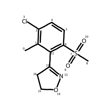 Cc1c(Cl)ccc(S(C)(=O)=O)c1C1=NOCC1